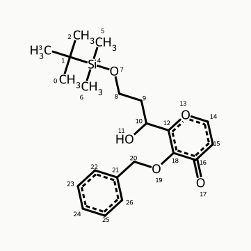 CC(C)(C)[Si](C)(C)OCCC(O)c1occc(=O)c1OCc1ccccc1